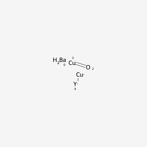 [BaH2].[Cu].[O]=[Cu].[Y]